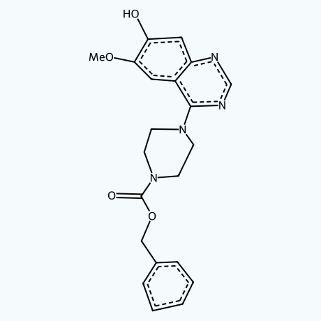 COc1cc2c(N3CCN(C(=O)OCc4ccccc4)CC3)ncnc2cc1O